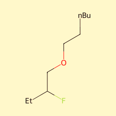 [CH2]CCCCCOCC(F)CC